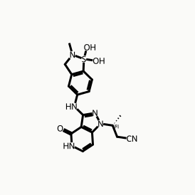 C[C@H](CC#N)n1nc(Nc2ccc3c(c2)CN(C)S3(O)O)c2c(=O)[nH]ccc21